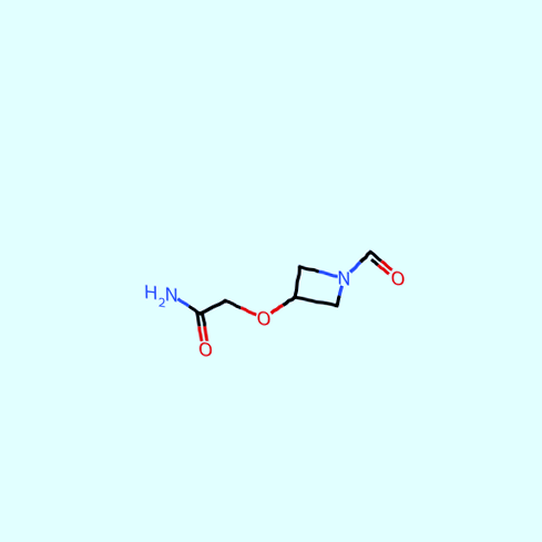 NC(=O)COC1CN(C=O)C1